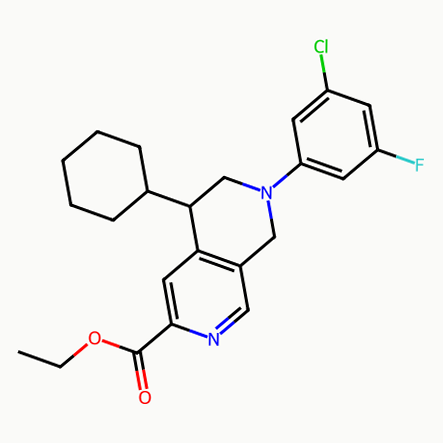 CCOC(=O)c1cc2c(cn1)CN(c1cc(F)cc(Cl)c1)CC2C1CCCCC1